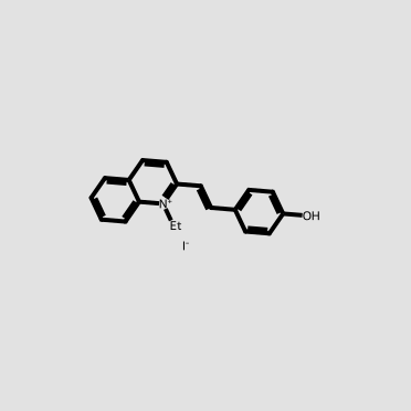 CC[n+]1c(C=Cc2ccc(O)cc2)ccc2ccccc21.[I-]